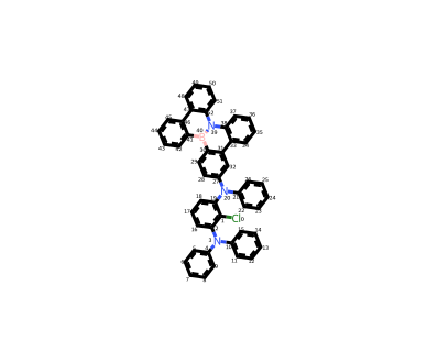 Clc1c(N(c2ccccc2)c2ccccc2)cccc1N(c1ccccc1)c1ccc2c(c1)-c1ccccc1N1B2c2ccccc2-c2ccccc21